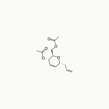 C=CC[C@@H]1C=C[C@H](OC(C)=O)[C@@H](COC(C)=O)O1